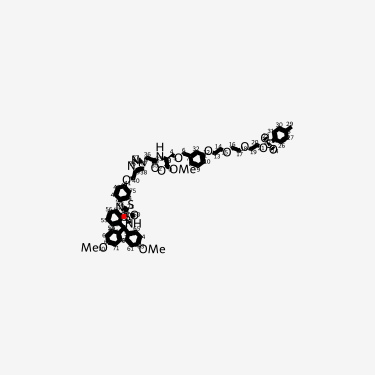 COC(=O)[C@H](COCc1cccc(OCCOCCOCCOS(=O)(=O)c2ccc(C)cc2)c1)NC(=O)Cn1cc(COc2ccc3nc(S(=O)(=O)NC(c4ccccc4)(c4ccc(OC)cc4)c4ccc(OC)cc4)sc3c2)nn1